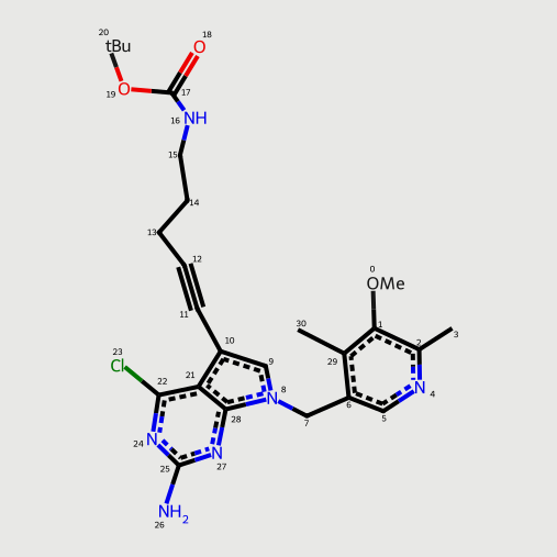 COc1c(C)ncc(Cn2cc(C#CCCCNC(=O)OC(C)(C)C)c3c(Cl)nc(N)nc32)c1C